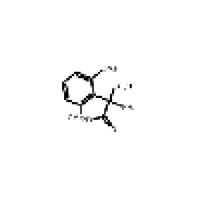 CCCC(=O)C(N)(C(=O)OCC)c1c(OC)cccc1OC